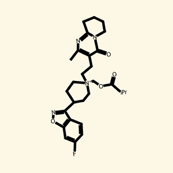 Cc1nc2n(c(=O)c1CC[N+]1(COC(=O)C(C)C)CCC(c3noc4cc(F)ccc34)CC1)CCCC2